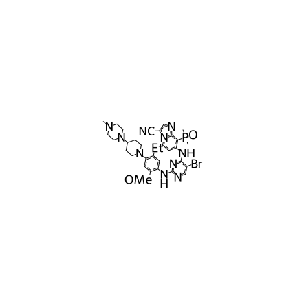 CCc1cc(Nc2ncc(Br)c(Nc3ccn4c(C#N)cnc4c3P(C)(C)=O)n2)c(OC)cc1N1CCC(N2CCN(C)CC2)CC1